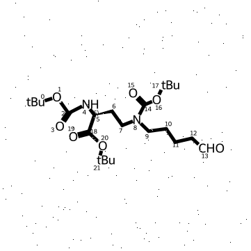 CC(C)(C)OC(=O)N[C@@H](CCN(CCCCC=O)C(=O)OC(C)(C)C)C(=O)OC(C)(C)C